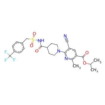 Cc1nc(N2CCC(C(=O)NS(=O)(=O)Cc3ccc(C(F)(F)F)cc3)CC2)c(C#N)cc1C(=O)OC(C)C